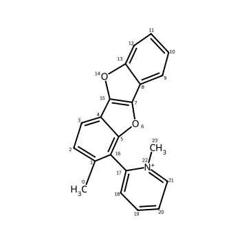 Cc1ccc2c(oc3c4ccccc4oc23)c1-c1cccc[n+]1C